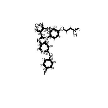 CNCCOc1ccc(-n2c(-c3nonc3N)nc3cnc(Oc4ccc(F)cc4)cc32)cc1